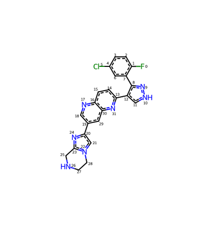 Fc1ccc(Cl)cc1-c1n[nH]cc1-c1ccc2ncc(-c3cn4c(n3)CNCC4)cc2n1